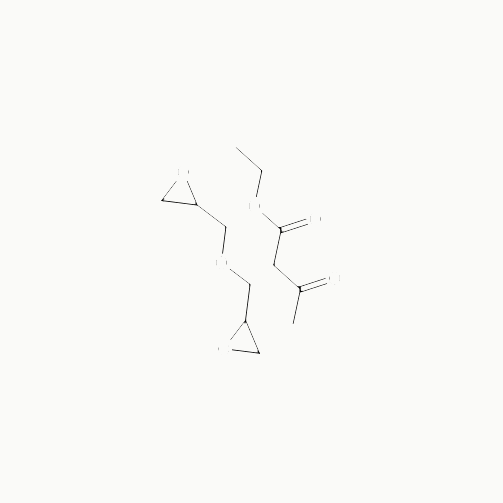 C(OCC1CO1)C1CO1.CCOC(=O)CC(C)=O